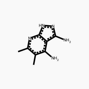 Cc1nc2[nH]nc(N)c2c(N)c1C